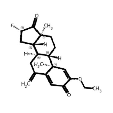 C=C1C[C@@H]2[C@H](CC[C@]3(C)C(=O)[C@@H](F)C[C@@H]23)[C@@]2(C)C=C(OCC)C(=O)C=C12